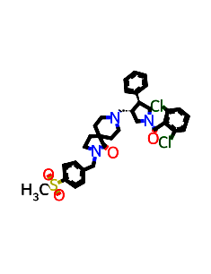 CS(=O)(=O)c1ccc(CN2CCC3(CCN(C[C@H]4CN(C(=O)c5c(Cl)cccc5Cl)C[C@@H]4c4ccccc4)CC3)C2=O)cc1